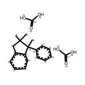 CC1(C)Cc2ccccc2C1(C)c1ccccc1.O=C(O)O.O=C(O)O